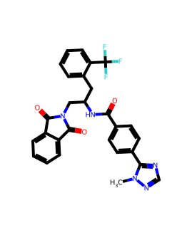 Cn1ncnc1-c1ccc(C(=O)NC(Cc2ccccc2C(F)(F)F)CN2C(=O)c3ccccc3C2=O)cc1